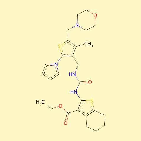 CCOC(=O)c1c(NC(=O)NCc2c(-n3cccc3)sc(CN3CCOCC3)c2C)sc2c1CCCC2